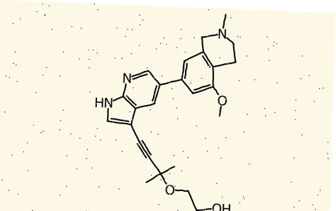 COc1cc(-c2cnc3[nH]cc(C#CC(C)(C)OCCO)c3c2)cc2c1CCN(C)C2